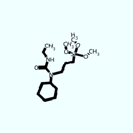 CCNC(=O)N(CCC[Si](OC)(OC)OC)C1CCCCC1